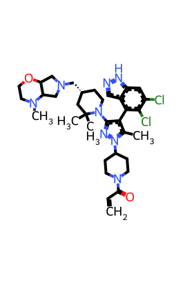 C=CC(=O)N1CCC(n2nc(N3CC[C@@H](CN4CC5OCCN(C)C5C4)CC3(C)C)c(-c3c(Cl)c(Cl)cc4[nH]ncc34)c2C)CC1